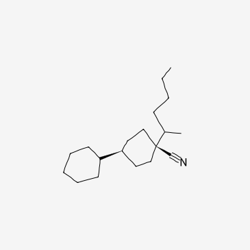 CCCCC(C)[C@]1(C#N)CC[C@@H](C2CCCCC2)CC1